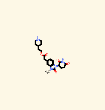 Cn1c(=O)n(C2CCC(=O)NC2=O)c2ccc(CC(=O)OCCC3CCNCC3)cc21